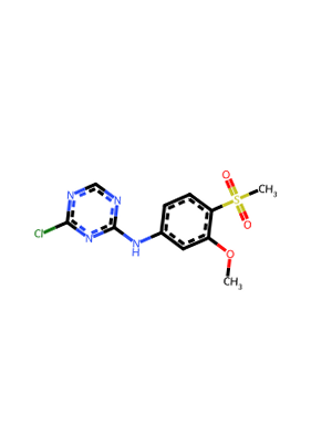 COc1cc(Nc2ncnc(Cl)n2)ccc1S(C)(=O)=O